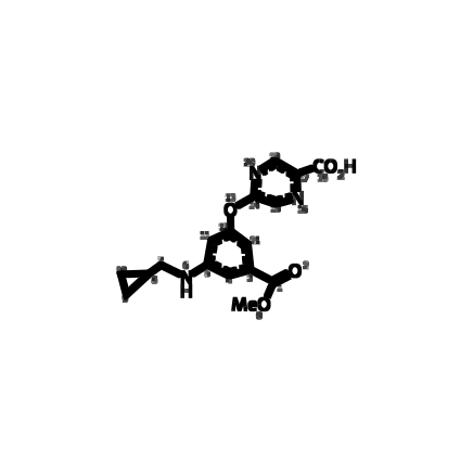 COC(=O)c1cc(NCC2CC2)cc(Oc2cnc(C(=O)O)cn2)c1